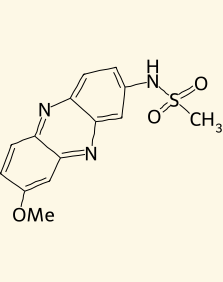 COc1ccc2nc3ccc(NS(C)(=O)=O)cc3nc2c1